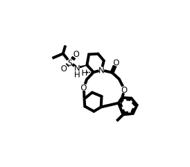 Cc1cccc2c1C1CCC(CC1)OC[C@H]1[C@@H](NS(=O)(=O)C(C)C)CCCN1C(=O)CO2